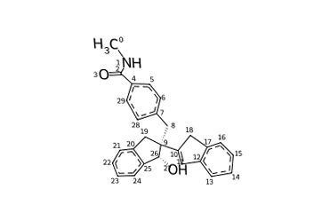 CNC(=O)c1ccc(C[C@@]2(C3=Cc4ccccc4C3)Cc3ccccc3[C@H]2O)cc1